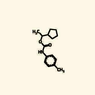 Cc1ccc(NC(=O)OC(C)C2CCCC2)cc1